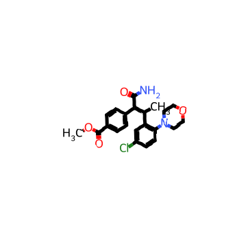 COC(=O)c1ccc(C(C(N)=O)C(C)c2cc(Cl)ccc2N2CCOCC2)cc1